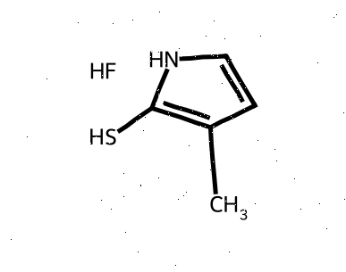 Cc1cc[nH]c1S.F